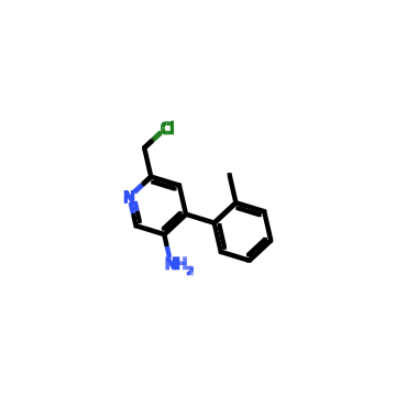 Cc1ccccc1-c1cc(CCl)ncc1N